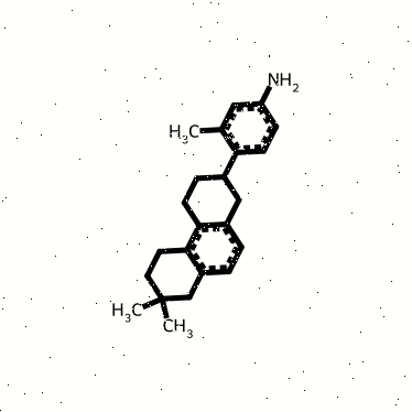 Cc1cc(N)ccc1C1CCc2c(ccc3c2CCC(C)(C)C3)C1